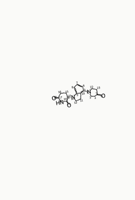 O=C1CCN(c2cccc3c2CCN3[C@H]2CCC(=O)NC2=O)CC1